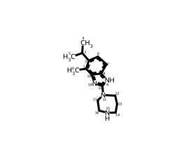 Cc1c(C(C)C)ccc2[nH]c(N3CCCNCC3)nc12